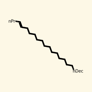 [CH2]CC/C=C/CCCCCCCCCCCCCCCCCCCCCC[CH2]